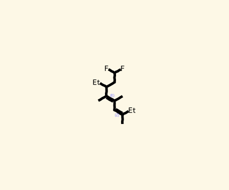 CC/C(C)=C\C(C)=C(/C)C(CC)CC(F)F